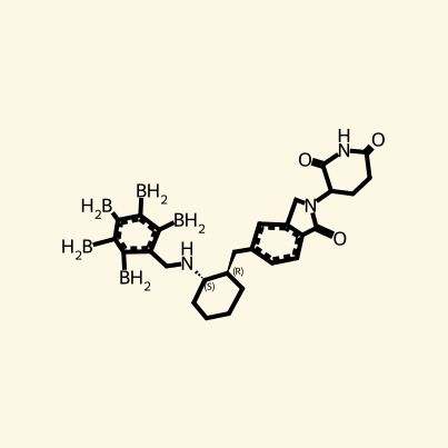 Bc1c(B)c(B)c(CN[C@H]2CCCC[C@@H]2Cc2ccc3c(c2)CN(C2CCC(=O)NC2=O)C3=O)c(B)c1B